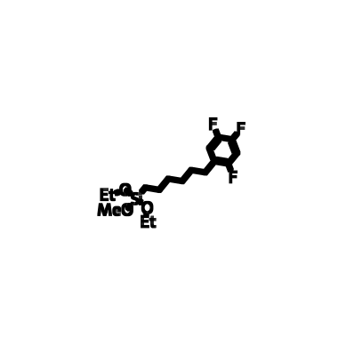 CCO[Si](CCCCCCc1cc(F)c(F)cc1F)(OC)OCC